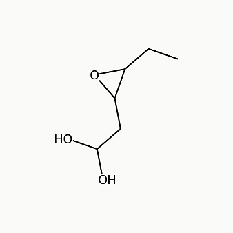 CCC1OC1CC(O)O